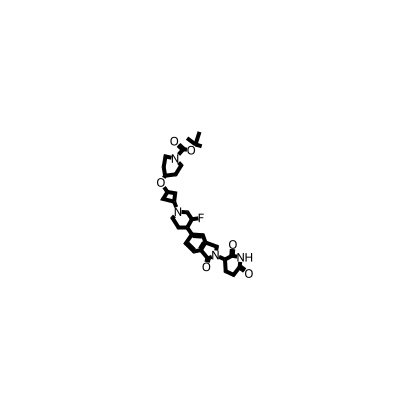 CC(C)(C)OC(=O)N1CCC(OC2CC(N3CCC(c4ccc5c(c4)CN(C4CCC(=O)NC4=O)C5=O)C(F)C3)C2)CC1